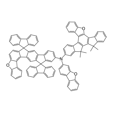 CC1(C)c2ccccc2-c2c1c1c(c3c2oc2ccccc23)-c2ccc(N(c3ccc4c(c3)C3(c5ccccc5-c5ccccc53)c3cc5c(cc3-4)C3(c4ccccc4-c4ccccc43)c3ccc4oc6ccccc6c4c3-5)c3ccc4c(c3)oc3ccccc34)cc2C1(C)C